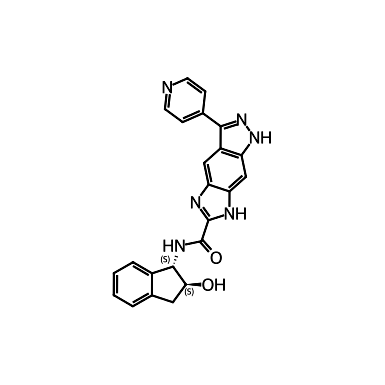 O=C(N[C@H]1c2ccccc2C[C@@H]1O)c1nc2cc3c(-c4ccncc4)n[nH]c3cc2[nH]1